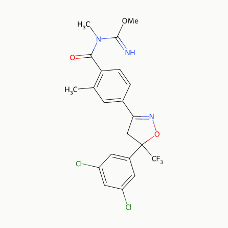 COC(=N)N(C)C(=O)c1ccc(C2=NOC(c3cc(Cl)cc(Cl)c3)(C(F)(F)F)C2)cc1C